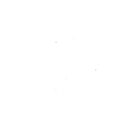 COC(=O)C1(Oc2cc(C(F)(F)F)ccc2CN2CCN(OC(=O)C(C)(C)C)CC2)CC1